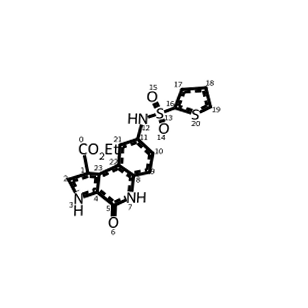 CCOC(=O)c1c[nH]c2c(=O)[nH]c3ccc(NS(=O)(=O)c4cccs4)cc3c12